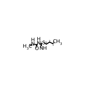 CCCCSC(=N)NC(=O)NC